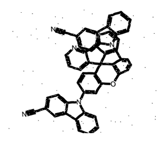 N#Cc1ccc2c(c1)c1ccccc1n2-c1ccc2c(c1)Oc1cccc(-n3c4ccccc4c4cc(C#N)ccc43)c1C21c2cccnc2-c2ncccc21